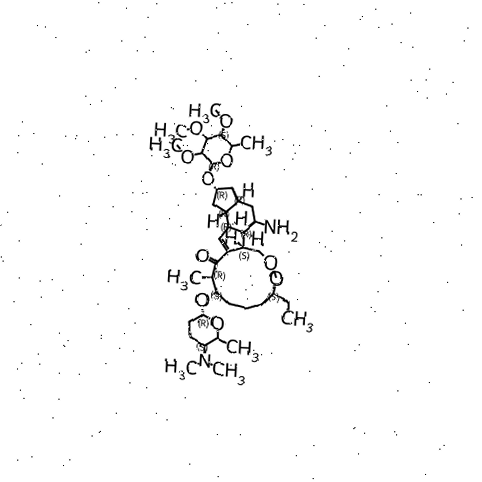 CC[C@H]1CCC[C@H](O[C@H]2CC[C@H](N(C)C)C(C)O2)[C@@H](C)C(=O)C2=C[C@H]3[C@@H]4C[C@H](O[C@@H]5OC(C)[C@H](OC)C(OC)C5OC)C[C@H]4CC(N)[C@H]3[C@@H]2COO1